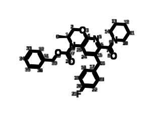 C[C@H]1COc2nc(C(=O)N3CCCCC3)c(Cc3ccc(F)cc3)cc2N1C(=O)OCc1ccccc1